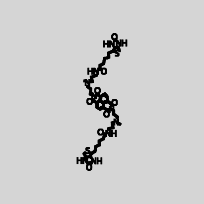 CN(CCCNC(=O)CCCCCC1SCC2NC(=O)NC21)CCCN1C(=O)c2ccc3c4c(ccc(c24)C1=O)C(=O)N(CCCN(C)CCCNC(=O)CCCCCC1SCC2NC(=O)NC21)C3=O